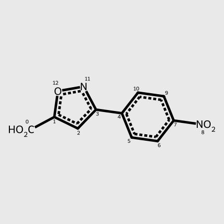 O=C(O)c1cc(-c2ccc([N+](=O)[O-])cc2)no1